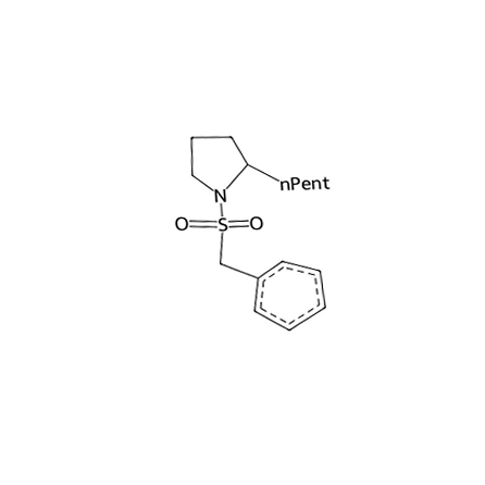 CCCCCC1CCCN1S(=O)(=O)Cc1ccccc1